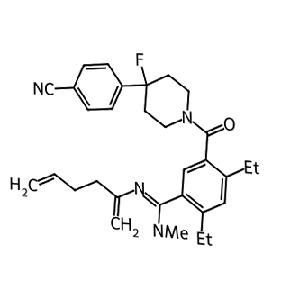 C=CCCC(=C)/N=C(\NC)c1cc(C(=O)N2CCC(F)(c3ccc(C#N)cc3)CC2)c(CC)cc1CC